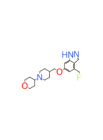 FCc1cc(OCC2CCN(C3CCOCC3)CC2)cc2[nH]ncc12